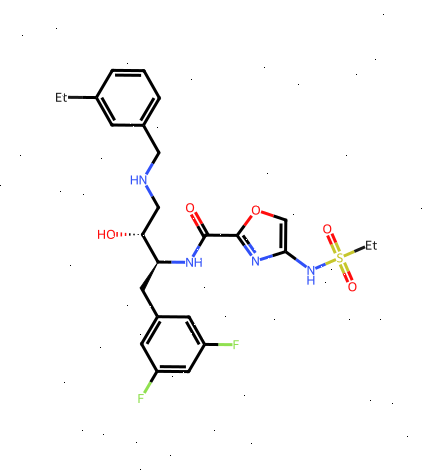 CCc1cccc(CNC[C@@H](O)[C@H](Cc2cc(F)cc(F)c2)NC(=O)c2nc(NS(=O)(=O)CC)co2)c1